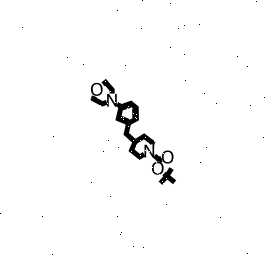 CC(C)(C)OC(=O)N1CCC(Cc2cccc(N3CCOCC3)c2)CC1